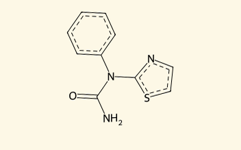 NC(=O)N(c1ccccc1)c1nccs1